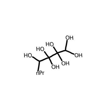 CCCC(O)C(O)(O)C(O)(O)[C](O)O